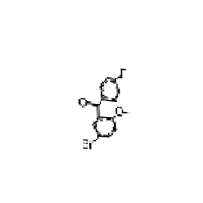 COc1ccc(Br)cc1C(=O)c1ccc(F)cc1